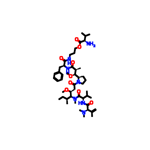 C=C(C)[C@@H](C(=O)N[C@H](C(=O)N(C)[C@@H]([C@@H](C)CC)[C@@H](CC(=O)N1CCC[C@H]1[C@H](OC)[C@@H](C)C(=O)N[C@@H](Cc1ccccc1)C(=O)NCCCOC(=O)[C@@H](N)C(C)C)OC)C(C)C)N(C)C